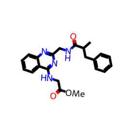 COC(=O)CNc1nc(CNC(=O)C(C)Cc2ccccc2)nc2ccccc12